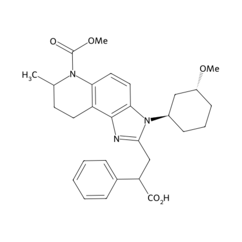 COC(=O)N1c2ccc3c(nc(CC(C(=O)O)c4ccccc4)n3[C@@H]3CCC[C@@H](OC)C3)c2CCC1C